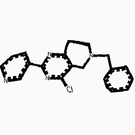 Clc1nc(-c2cccnc2)nc2c1CN(Cc1ccccc1)CC2